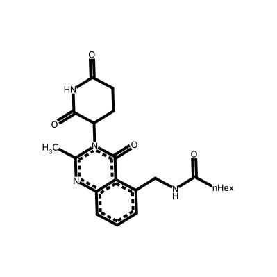 CCCCCCC(=O)NCc1cccc2nc(C)n(C3CCC(=O)NC3=O)c(=O)c12